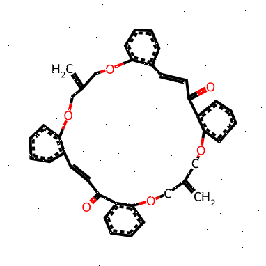 C=C1COc2ccccc2/C=C/C(=O)c2ccccc2OCC(=C)COc2ccccc2C(=O)/C=C/c2ccccc2OC1